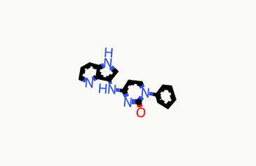 O=c1nc(Nc2c[nH]c3cccnc23)ccn1-c1ccccc1